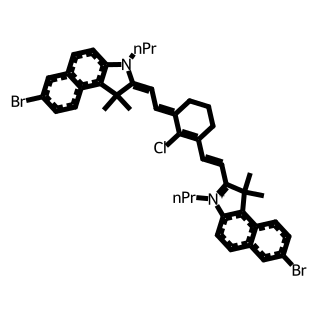 CCCN1/C(=C/C=C2\CCCC(/C=C/C3=[N+](CCC)c4ccc5cc(Br)ccc5c4C3(C)C)=C2Cl)C(C)(C)c2c1ccc1cc(Br)ccc21